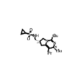 CC(C)C1=C2C[C@H](CNS(=O)(=O)C3CC3)CN2C(C(C)(C)C)=N[C@H]1C(C)(C)C